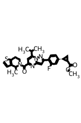 COC(=O)C1C[C@H]1c1ccc(-c2cc3nc(C(=O)N4CCc5sccc5C4C)cc(C(C)C)n3n2)c(F)c1